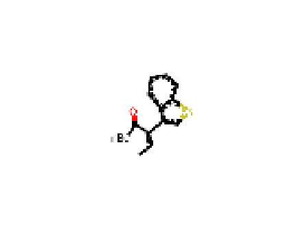 CC=C(C(=O)CCCC)c1csc2ccccc12